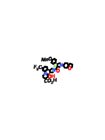 COc1ccc([C@@H]2CN(C3CCC4(CCCO4)CC3)C[C@@]2(F)C(=O)N2C[C@H](CO)[C@@H](c3ccc(C(F)(F)F)cc3N3CCC(C(=O)O)CC3)C2)cc1